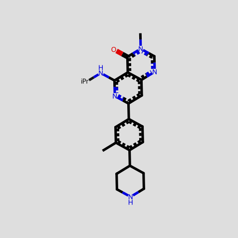 Cc1cc(-c2cc3ncn(C)c(=O)c3c(NC(C)C)n2)ccc1C1CCNCC1